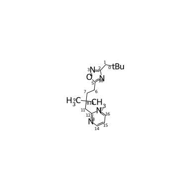 CC(C)(C)Cc1noc(CCC(C)(C)Cc2ncccn2)n1